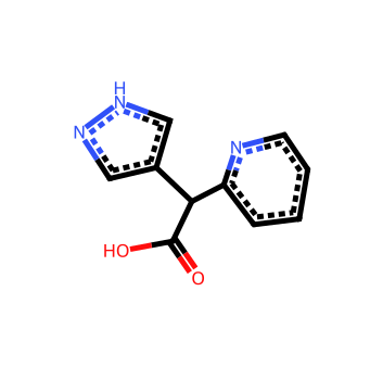 O=C(O)C(c1cn[nH]c1)c1ccccn1